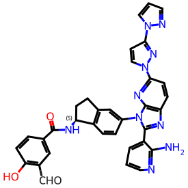 Nc1ncccc1-c1nc2ccc(-n3ccc(-n4cccn4)n3)nc2n1-c1ccc2c(c1)CC[C@@H]2NC(=O)c1ccc(O)c(C=O)c1